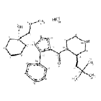 COC[C@]1(O)CCCC[C@H]1n1cnc(C(=O)N2CCNC[C@H]2CC(C)(C)C)c1-c1ccccc1.Cl